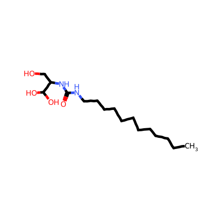 CCCCCCCCCCCCNC(=O)NC(CO)C(O)O